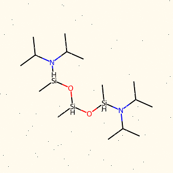 CC(C)N(C(C)C)[SiH](C)O[SiH](C)O[SiH](C)N(C(C)C)C(C)C